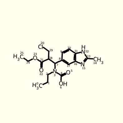 CCCN(C(=O)O)C(c1ccc2[nH]c(C)nc2c1)C(CCl)C(=O)OCC